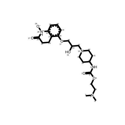 CN(C)CCOC(=O)NC1CCN(CC(O)COc2cccc3c2CCC(=O)[NH+]3[O-])CC1